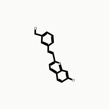 ClCc1cccc(/C=C/c2ccc3ccc(Cl)cc3n2)c1